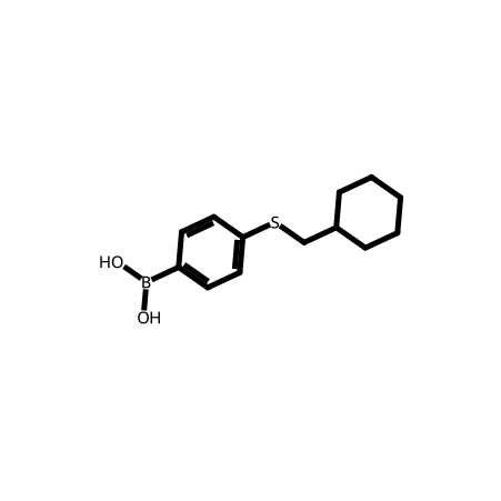 OB(O)c1ccc(SCC2CCCCC2)cc1